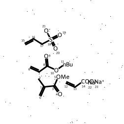 C=C(C)C(=O)OC.C=CC(=O)OCCCC.C=CC(=O)[O-].C=CCS(=O)(=O)[O-].[Na+].[Na+]